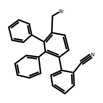 N#Cc1ccccc1-c1ccc(CBr)c(-c2ccccc2)c1-c1ccccc1